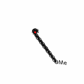 COCCOCCOCCOCCOCCOCCOCCOCCOCCOCCOCCOCCOCCC[Si](C)(C)O[Si](C)(C)O[Si](C)(C)C